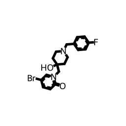 O=c1ccc(Br)cn1CC1(O)CCN(Cc2ccc(F)cc2)CC1